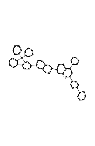 c1ccc(-c2ccc(-c3cc(-c4ccccc4)c4ccc(-c5ccc6cc(-c7ccc8c(c7)C(c7ccccc7)(c7ccccc7)c7ccccc7-8)ccc6c5)cc4n3)cc2)cc1